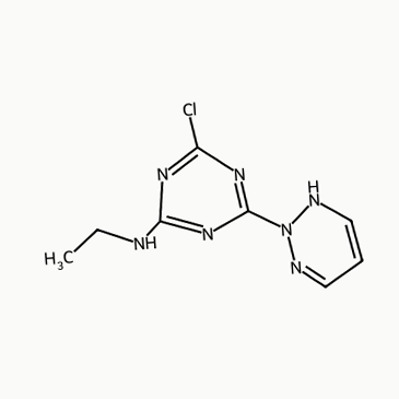 CCNc1nc(Cl)nc(N2N=CC=CN2)n1